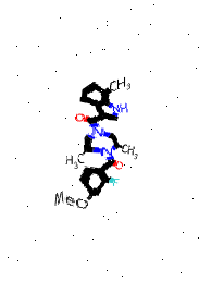 COc1ccc(C(=O)N2[C@H](C)CN(C(=O)c3c[nH]c4c(C)cccc34)C[C@H]2C)c(F)c1